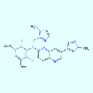 COC1=CC(OC)C(Cl)C(N(Cc2nccn2C)c2ccc3ncc(-c4cnn(C)c4)cc3n2)=C1Cl